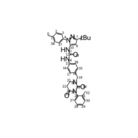 Cc1ccc(-n2nc(C(C)(C)C)cc2NC(=O)Nc2ccc(CN3CCC(=O)N(c4ccccc4C)C3=O)cc2)cc1